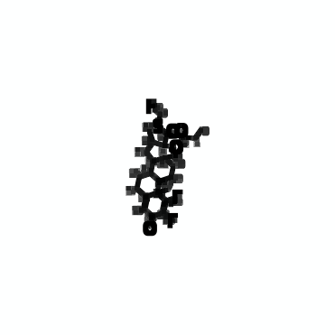 CCC(=O)OC1(C(=O)SCF)C(C)CC2C3CCC4=CC(=O)C(F)=C(F)C4(C)C3CCC21C